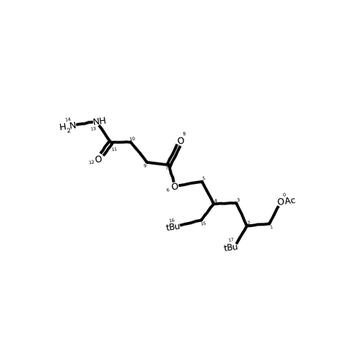 CC(=O)OCC(CC(COC(=O)CCC(=O)NN)CC(C)(C)C)C(C)(C)C